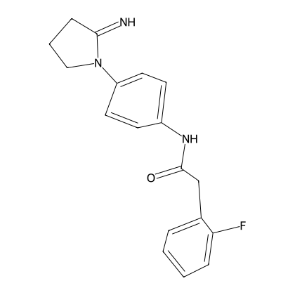 N=C1CCCN1c1ccc(NC(=O)Cc2ccccc2F)cc1